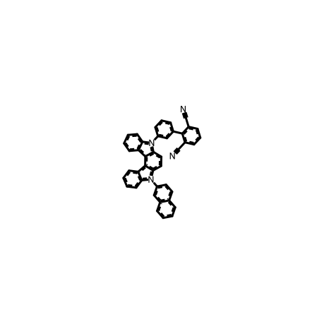 N#Cc1cccc(C#N)c1-c1cccc(-n2c3ccccc3c3c4c5ccccc5n(-c5ccc6ccccc6c5)c4ccc32)c1